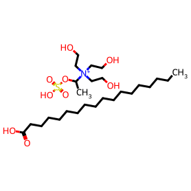 CC(OS(=O)(=O)O)[N+](CCO)(CCO)CCO.CCCCCCCCCCCCCCCCCC(=O)O